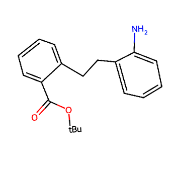 CC(C)(C)OC(=O)c1ccccc1CCc1ccccc1N